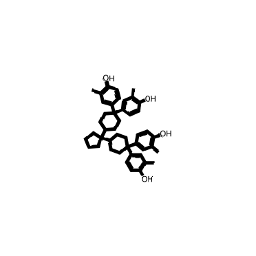 Cc1cc(C2(c3ccc(O)c(C)c3)CCC(C3(C4CCC(c5ccc(O)c(C)c5)(c5ccc(O)c(C)c5)CC4)CCCC3)CC2)ccc1O